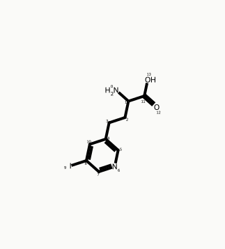 NC(CCc1cncc(I)c1)C(=O)O